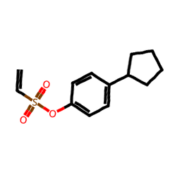 C=CS(=O)(=O)Oc1ccc(C2CCCC2)cc1